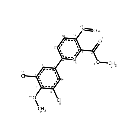 COC(=O)c1nc(-c2cc(Cl)c(OC)c(Cl)c2)ccc1N=O